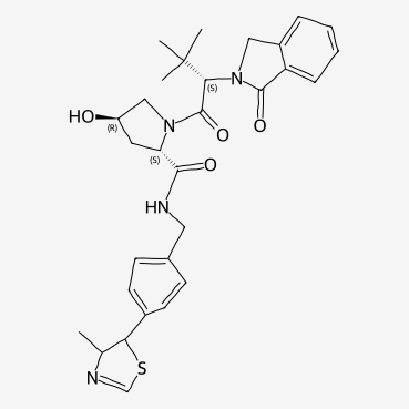 CC1N=CSC1c1ccc(CNC(=O)[C@@H]2C[C@@H](O)CN2C(=O)[C@@H](N2Cc3ccccc3C2=O)C(C)(C)C)cc1